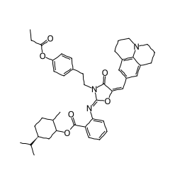 CCC(=O)Oc1ccc(CCN2C(=O)/C(=C\c3cc4c5c(c3)CCCN5CCC4)O/C2=N\c2ccccc2C(=O)OC2C[C@@H](C(C)C)CCC2C)cc1